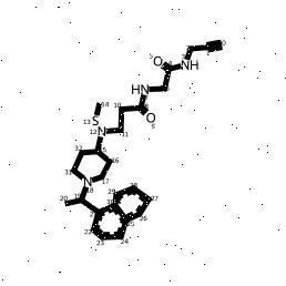 C#CCNC(=O)CNC(=O)CCN(SC)C1CCN(C(C)c2cccc3ccccc23)CC1